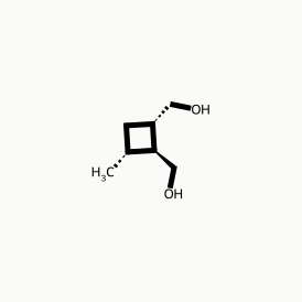 C[C@@H]1C[C@H](CO)[C@H]1CO